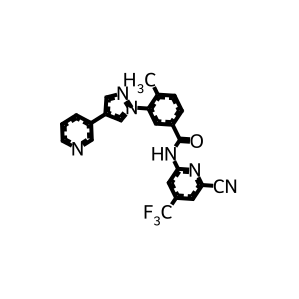 Cc1ccc(C(=O)Nc2cc(C(F)(F)F)cc(C#N)n2)cc1-n1cc(-c2cccnc2)cn1